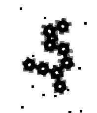 c1ccc(-c2ccc(-c3nc(-c4ccccc4)nc(-c4cccc(-c5cccc(-c6cccc7c6sc6c(-c8ccccc8)cccc67)c5)c4)n3)cc2)cc1